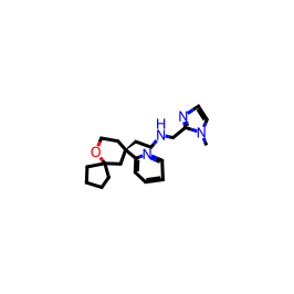 Cn1ccnc1CNCC[C@]1(c2ccccn2)CCOC2(CCCC2)C1